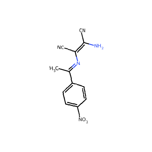 C/C(=N\C(C#N)=C(/N)C#N)c1ccc([N+](=O)[O-])cc1